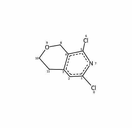 Clc1cc2c(c(Cl)n1)COCC2